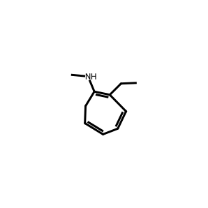 CCC1=C(NC)CC=CC=C1